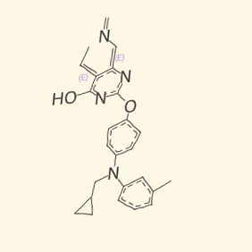 C=N/C=c1/nc(Oc2ccc(N(CC3CC3)c3cccc(C)c3)cc2)nc(O)/c1=C/C